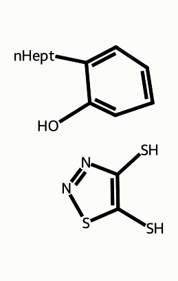 CCCCCCCc1ccccc1O.Sc1nnsc1S